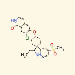 CCC(N)[C@]1(c2cccc(S(C)(=O)=O)c2)CC[C@H](Oc2cc3cc[nH]c(=O)c3cc2Cl)CC1